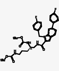 CC(C)(C)OC(=O)NCCC[C@@H](CNC(=O)c1cc2ccc(-c3ccc(F)cc3)cc2n1Cc1ccc(F)cc1)NC(=O)OC(C)(C)C